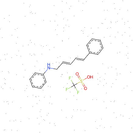 C(=CCNc1ccccc1)/C=C/c1ccccc1.O=S(=O)(O)C(F)(F)F